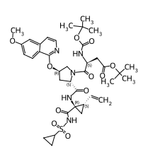 C=C[C@@H]1C[C@]1(NC(=O)[C@@H]1C[C@@H](Oc2nccc3cc(OC)ccc23)CN1C(=O)[C@H](CC(=O)OC(C)(C)C)NC(=O)OC(C)(C)C)C(=O)NS(=O)(=O)C1CC1